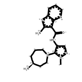 Cn1ncc(NC(=O)c2c(N)sc3cccnc23)c1N1CCC[C@H](N)CC1